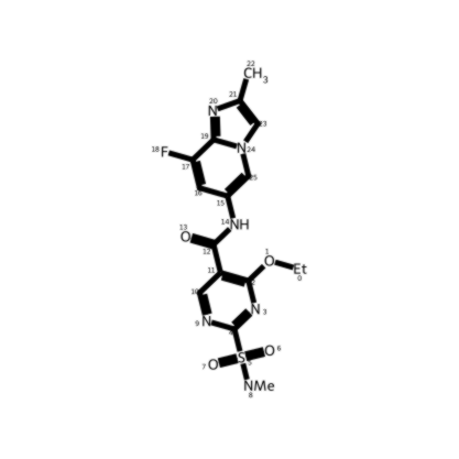 CCOc1nc(S(=O)(=O)NC)ncc1C(=O)Nc1cc(F)c2nc(C)cn2c1